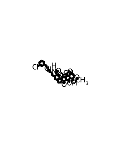 COC1=CC(=O)c2c(O)c3c(c(O)c2C1=O)C(=O)C1(CCc2cc4cc(C=NOCc5cccc(Cl)c5)[nH]c(=O)c4c(O)c21)C3=O